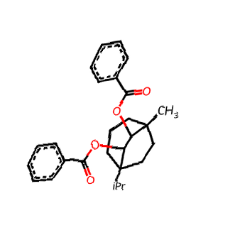 CC(C)C12CCCC(C)(CC1)C(OC(=O)c1ccccc1)C2OC(=O)c1ccccc1